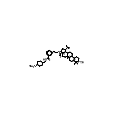 C=C(C)[C@@H]1CC[C@]2(C(=O)NCCc3cccc(C(=O)NCC4CCC(C(=O)O)CC4)c3)CC[C@]3(C)C(CCC4[C@@]5(C)CC[C@H](O)C(C)(C)C5CC[C@]43C)C12